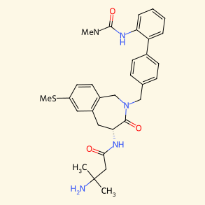 CNC(=O)Nc1ccccc1-c1ccc(CN2Cc3ccc(SC)cc3C[C@@H](NC(=O)CC(C)(C)N)C2=O)cc1